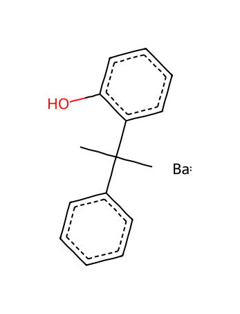 CC(C)(c1ccccc1)c1ccccc1O.[Ba]